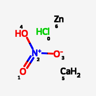 Cl.O=[N+]([O-])O.[CaH2].[Zn]